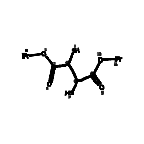 CC(C)OC(=O)C(S)C(S)C(=O)OC(C)C